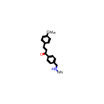 CCCNCc1ccc(C(=O)C=Cc2ccc(OC)cc2)cc1